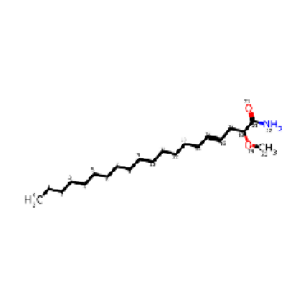 CCCCCCCCCCCCCCC/C=C/CC(OC)C(N)=O